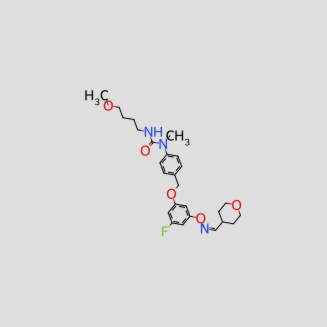 COCCCCNC(=O)N(C)c1ccc(COc2cc(F)cc(O/N=C\C3CCOCC3)c2)cc1